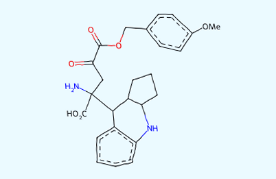 COc1ccc(COC(=O)C(=O)CC(N)(C(=O)O)C2c3ccccc3NC3CCCC32)cc1